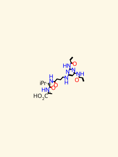 C=CC(=O)Nc1cc(NCCCC(=O)N[C@H](C(=O)N[C@@H](C)C(=O)O)C(C)C)nc(NC(=O)C=C)n1